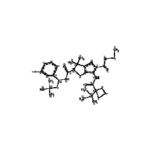 CCOC(=O)n1nc2c(c1NC(=O)C1(S(C)(C)C)CCC1)CN(C(=O)NC(CC(C)(C)O)c1cccc(F)c1)C2(C)C